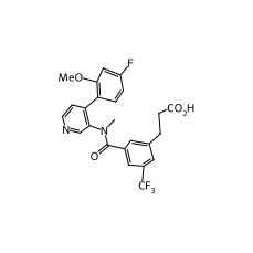 COc1cc(F)ccc1-c1ccncc1N(C)C(=O)c1cc(CCC(=O)O)cc(C(F)(F)F)c1